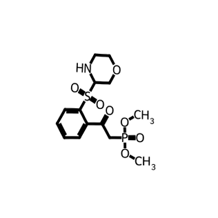 COP(=O)(CC(=O)c1ccccc1S(=O)(=O)C1COCCN1)OC